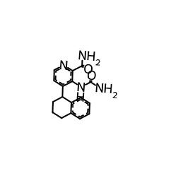 NC(=O)Nc1c(C2CCCc3ccccc32)ccnc1C(N)=O